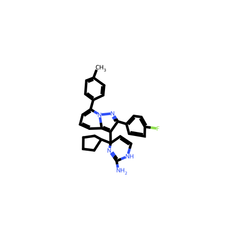 Cc1ccc(-c2cccc3c(C4(C5CCCC5)C=CNC(N)=N4)c(-c4ccc(F)cc4)nn23)cc1